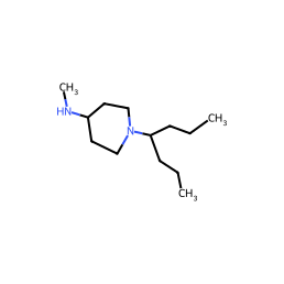 CCCC(CCC)N1CCC(NC)CC1